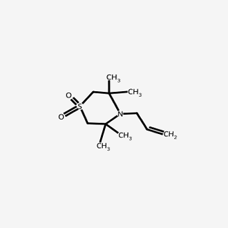 C=CCN1C(C)(C)CS(=O)(=O)CC1(C)C